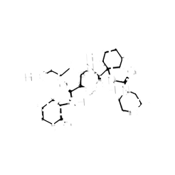 CCCC[C@H](NC(=O)C1(NC(=O)N2CCOCC2)CCCCC1)C(=O)C(=O)NC1CCCCC1=O